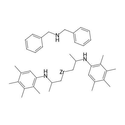 Cc1cc(NC(C)[CH2][Zr][CH2]C(C)Nc2cc(C)c(C)c(C)c2C)c(C)c(C)c1C.c1ccc(CNCc2ccccc2)cc1